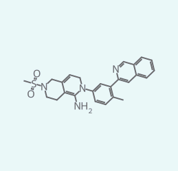 Cc1ccc(N2CC=C3CN(S(C)(=O)=O)CCC3=C2N)cc1-c1cc2ccccc2cn1